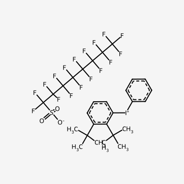 CC(C)(C)c1cccc([I+]c2ccccc2)c1C(C)(C)C.O=S(=O)([O-])C(F)(F)C(F)(F)C(F)(F)C(F)(F)C(F)(F)C(F)(F)C(F)(F)C(F)(F)F